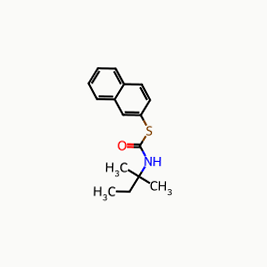 CCC(C)(C)NC(=O)Sc1ccc2ccccc2c1